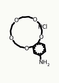 Cl.Nc1ccc2c(c1)OCCOCCOCCOCCO2